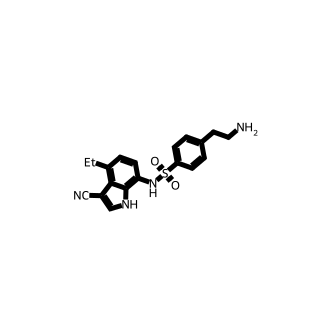 CCc1ccc(NS(=O)(=O)c2ccc(CCN)cc2)c2[nH]cc(C#N)c12